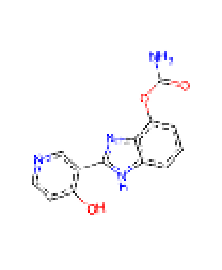 NC(=O)Oc1cccc2[nH]c(-c3cnccc3O)nc12